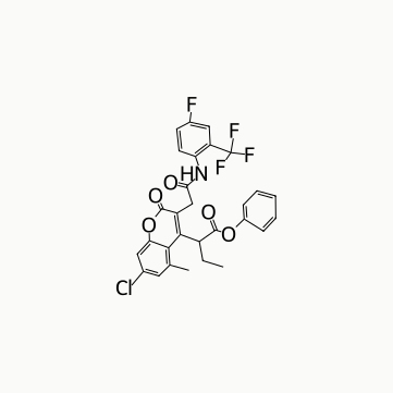 CCC(C(=O)Oc1ccccc1)c1c(CC(=O)Nc2ccc(F)cc2C(F)(F)F)c(=O)oc2cc(Cl)cc(C)c12